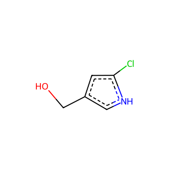 OCc1c[nH]c(Cl)c1